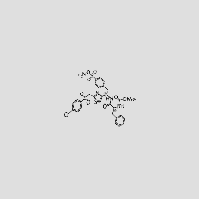 COC(=O)N[C@@H](Cc1ccccc1)C(=O)N[C@@H](Cc1ccc(S(=O)(=O)ON)cc1)c1csc(CS(=O)(=O)c2ccc(Cl)cc2)n1